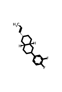 CC=C[C@@H]1CC[C@@H]2CC(c3ccc(F)c(F)c3)CC[C@@H]2C1